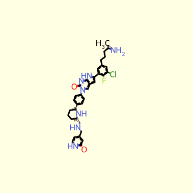 C[C@H](N)CCCc1cc(Cl)c(F)c(-c2cc3cn(-c4ccc([C@@H]5CCC[C@@H](CNCc6cc[nH]c(=O)c6)N5)cc4)c(=O)nc3[nH]2)c1